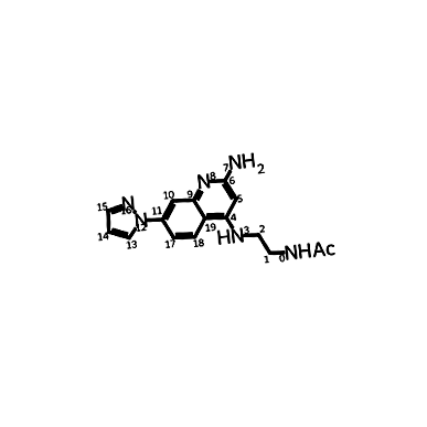 CC(=O)NCCNc1cc(N)nc2cc(-n3cccn3)ccc12